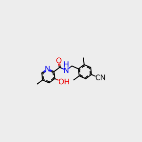 Cc1cnc(C(=O)NCc2c(C)cc(C#N)cc2C)c(O)c1